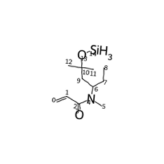 C=CC(=O)N(C)C(CC)CC(C)(C)O[SiH3]